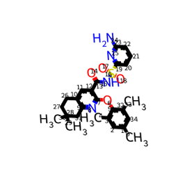 Cc1cc(C)c(Oc2nc3c(cc2C(=O)NS(=O)(=O)c2cccc(N)n2)CCC(C)(C)C3)c(C)c1